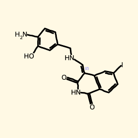 Nc1ccc(CN/C=C2\C(=O)NC(=O)c3ccc(I)cc32)cc1O